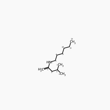 C=C(CC(C)C)NCCCCCC